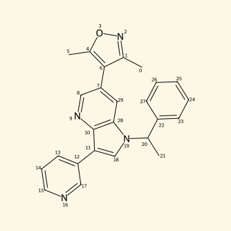 Cc1noc(C)c1-c1cnc2c(-c3cccnc3)cn(C(C)c3ccccc3)c2c1